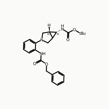 CC(C)(C)OC(=O)N[C@@H]1C2CN(c3ccccc3NC(=O)OCc3ccccc3)C[C@@H]21